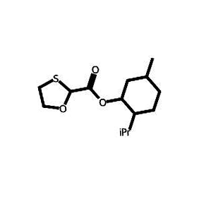 CC1CCC(C(C)C)C(OC(=O)C2OCCS2)C1